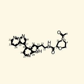 CC(=O)N1CCO[C@H](C(=O)NCCc2cc3c(-c4cnn5ncccc45)ccnc3[nH]2)C1